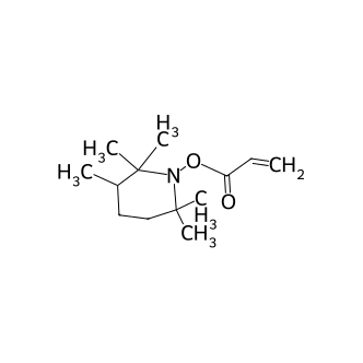 C=CC(=O)ON1C(C)(C)CCC(C)C1(C)C